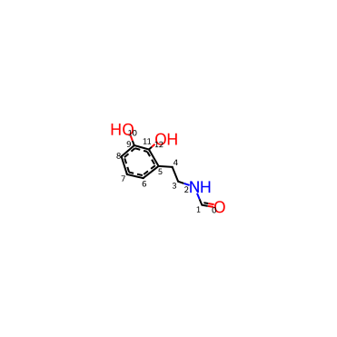 O=CNCCc1cccc(O)c1O